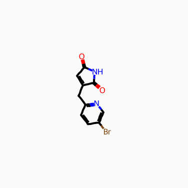 O=C1C=C(Cc2ccc(Br)cn2)C(=O)N1